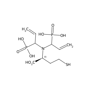 C=CC(N(C(C=C)P(=O)(O)O)[C@@H](CCS)C(=O)O)P(=O)(O)O